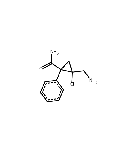 NCC1(Cl)CC1(C(N)=O)c1ccccc1